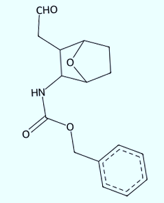 O=CCC1C2CCC(O2)C1NC(=O)OCc1ccccc1